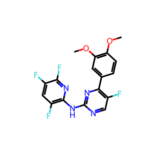 COc1ccc(-c2nc(Nc3nc(F)c(F)cc3F)ncc2F)cc1OC